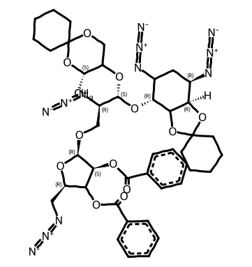 C[C@@H]1OC2(CCCCC2)OCC1O[C@H](O[C@@H]1C(N=[N+]=[N-])C[C@@H](N=[N+]=[N-])[C@H]2OC3(CCCCC3)OC12)[C@@H](CO[C@@H]1O[C@H](CN=[N+]=[N-])C(OC(=O)c2ccccc2)[C@@H]1OC(=O)c1ccccc1)N=[N+]=[N-]